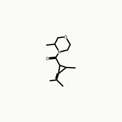 CC(C)=C1C(C)C1C(=O)N1CCOCC1C